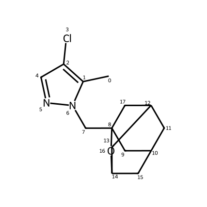 Cc1c(Cl)cnn1CC12CC3CC(CC(C3)O1)C2